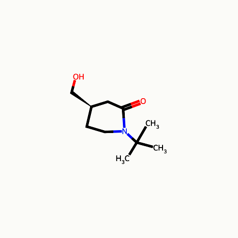 CC(C)(C)N1CC[C@@H](CO)CC1=O